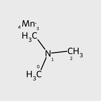 CN(C)C.[Mn]